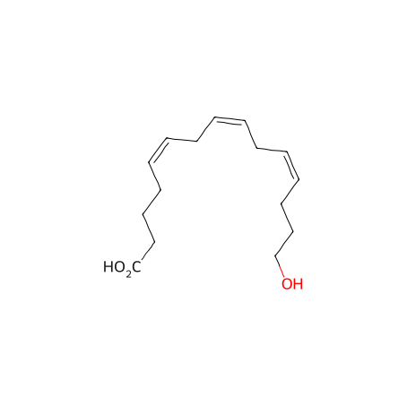 O=C(O)CCC/C=C\C/C=C\C/C=C\CCCO